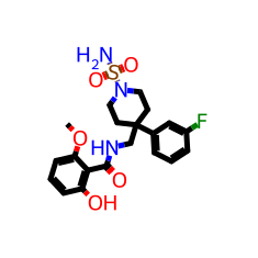 COc1cccc(O)c1C(=O)NCC1(c2cccc(F)c2)CCN(S(N)(=O)=O)CC1